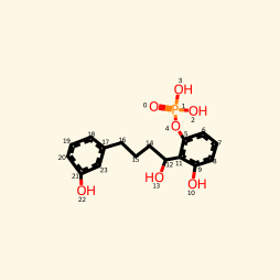 O=P(O)(O)Oc1cccc(O)c1C(O)CCCc1cccc(O)c1